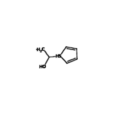 [CH2]C(O)[SH]1C=CC=C1